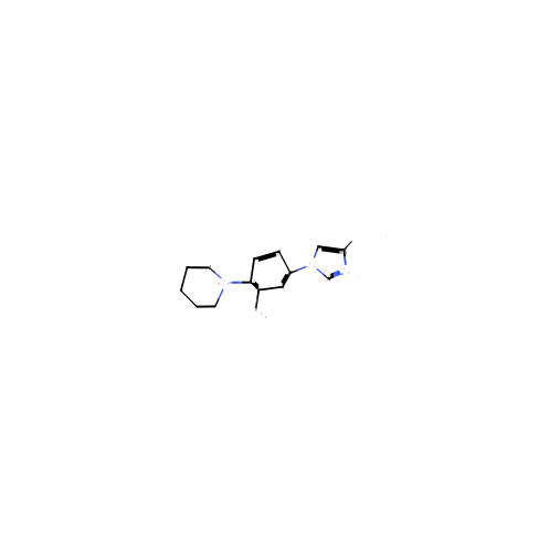 CCOC(=O)c1cn(-c2ccc(N3CCCCC3)c(C#N)c2)cn1